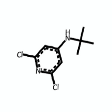 CC(C)(C)Nc1cc(Cl)nc(Cl)c1